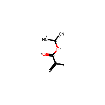 C=C(C)C(=O)OC(C#N)C#N